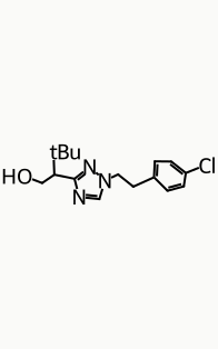 CC(C)(C)C(CO)c1ncn(CCc2ccc(Cl)cc2)n1